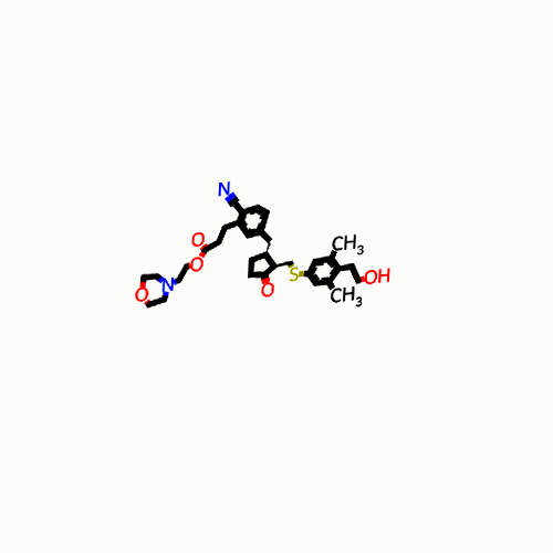 Cc1cc(SC[C@H]2C(=O)CC[C@@H]2Cc2ccc(C#N)c(CCC(=O)OCCN3CCOCC3)c2)cc(C)c1CCO